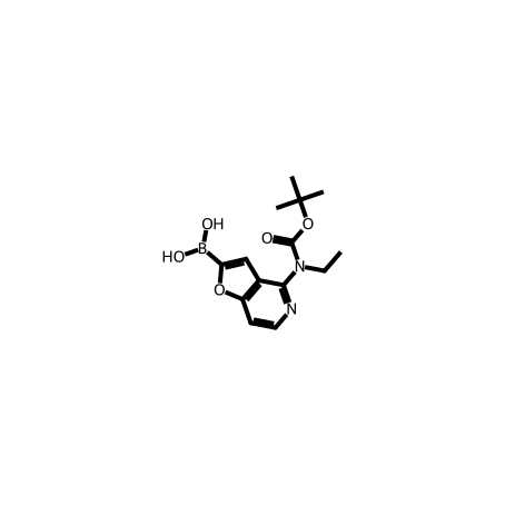 CCN(C(=O)OC(C)(C)C)c1nccc2oc(B(O)O)cc12